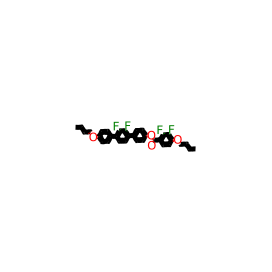 CCCCOc1ccc(-c2ccc(-c3ccc(OC(=O)c4ccc(OCCCC)c(F)c4F)cc3)c(F)c2F)cc1